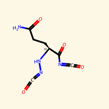 NC(=O)CC[C@H](NN=C=O)C(=O)N=C=O